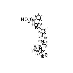 O=C(O)Nc1ccccc1C1CC(c2csc(C3CCN(C(=O)Cn4nc(C(F)F)cc4C(F)F)CC3)n2)=NO1